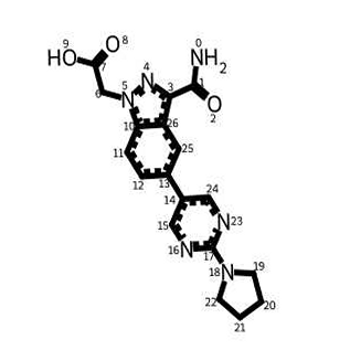 NC(=O)c1nn(CC(=O)O)c2ccc(-c3cnc(N4CCCC4)nc3)cc12